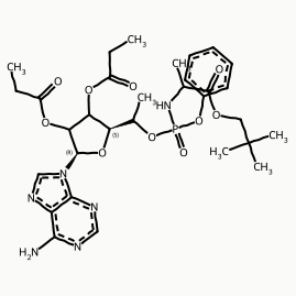 CCC(=O)OC1C(OC(=O)CC)[C@H](n2cnc3c(N)ncnc32)O[C@@H]1C(C)OP(=O)(NC(C)C(=O)OCC(C)(C)C)Oc1ccccc1